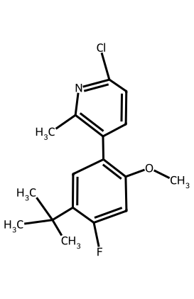 COc1cc(F)c(C(C)(C)C)cc1-c1ccc(Cl)nc1C